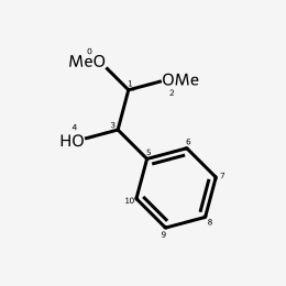 CO[C](OC)C(O)c1ccccc1